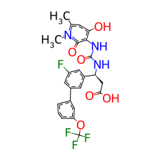 Cc1cc(O)c(NC(=O)N[C@@H](CC(=O)O)c2cc(F)cc(-c3cccc(OC(F)(F)F)c3)c2)c(=O)n1C